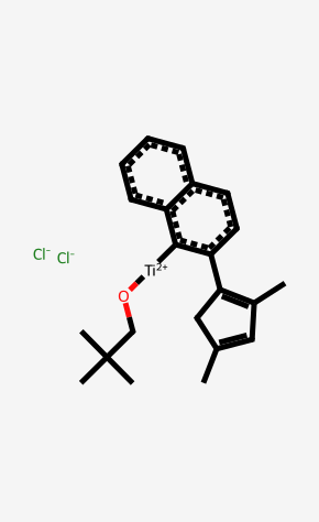 CC1=CC(C)=C(c2ccc3ccccc3[c]2[Ti+2][O]CC(C)(C)C)C1.[Cl-].[Cl-]